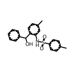 Cc1ccc(S(=O)(=O)Nc2cc(C)ccc2C(O)c2ccccc2)cc1